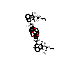 CC1C2CCC[C@H]3C[C@@H](c4nc5cc(-c6cc7ccc6CCc6ccc(c(-c8ccc9[nH]c([C@@H]%10C[C@@H]%11CCCC%12C(C)[C@H](NC(=O)OCCF)C(=O)N%10[C@@H]%12%11)nc9c8)c6)CC7)ccc5[nH]4)N(C(=O)[C@H]1NC(=O)OCCF)[C@@H]23